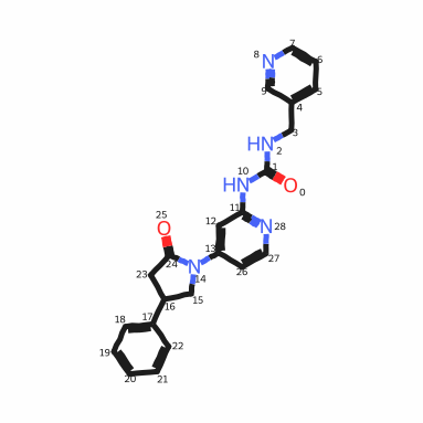 O=C(NCc1cccnc1)Nc1cc(N2CC(c3ccccc3)CC2=O)ccn1